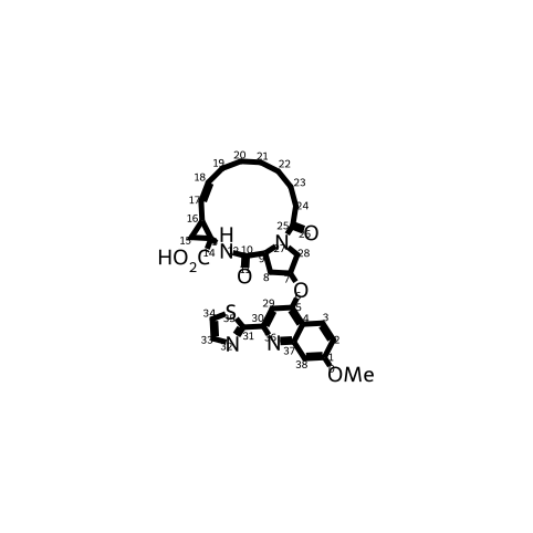 COc1ccc2c(OC3CC4C(=O)NC5(C(=O)O)CC5/C=C\CCCCCCC(=O)N4C3)cc(-c3nccs3)nc2c1